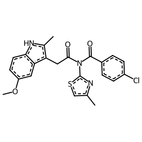 COc1ccc2[nH]c(C)c(CC(=O)N(C(=O)c3ccc(Cl)cc3)c3nc(C)cs3)c2c1